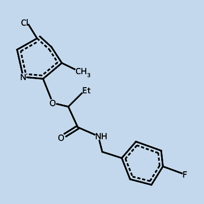 CCC(Oc1ncc(Cl)cc1C)C(=O)NCc1ccc(F)cc1